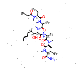 C=C(C(=O)N(C)[C@@H](CC(C)C)C(N)=O)N(C)C(=O)[C@H](CC)NC(=O)[C@H]([C@H](O)[C@H](C)C/C=C/C)N(C)C(=O)C(C(C)C)N(C)C(=O)[C@H](CC(C)C)N(C)C(=O)CC(C)C